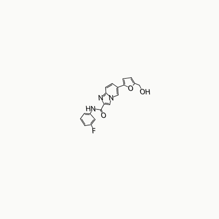 O=C(Nc1cccc(F)c1)c1cn2cc(-c3ccc(CO)o3)ccc2n1